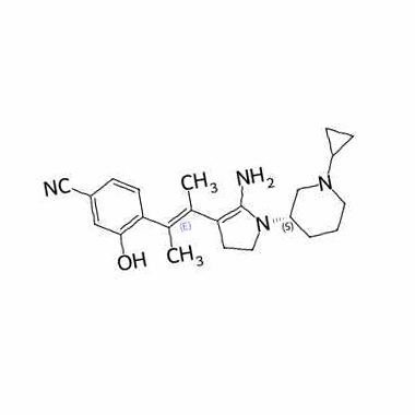 C/C(C1=C(N)N([C@H]2CCCN(C3CC3)C2)CC1)=C(/C)c1ccc(C#N)cc1O